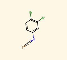 S=C=Nc1ccc(Br)c(Br)c1